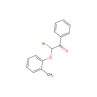 Cc1ccccc1OC(Br)C(=O)c1ccccc1